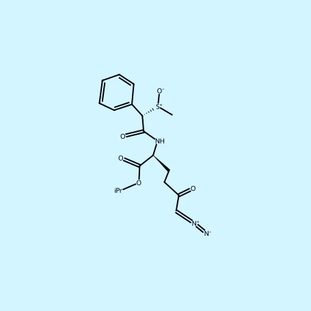 CC(C)OC(=O)[C@H](CCC(=O)C=[N+]=[N-])NC(=O)[C@H](c1ccccc1)[S+](C)[O-]